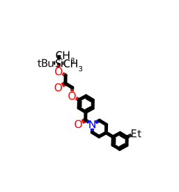 CCc1cccc(C2CCN(C(=O)c3cccc(OCC(=O)CO[Si](C)(C)C(C)(C)C)c3)CC2)c1